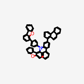 c1ccc(-c2ccc(-c3cccc4c3ccc3ccccc34)cc2N(c2ccc(-c3cccc4c3oc3ccccc34)cc2)c2cccc3oc4ccccc4c23)cc1